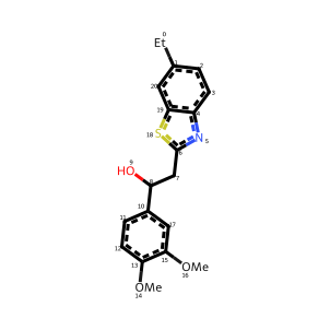 CCc1ccc2nc(CC(O)c3ccc(OC)c(OC)c3)sc2c1